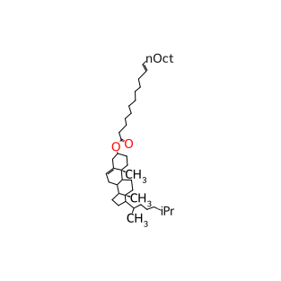 CCCCCCCCC=CCCCCCCCCCC(=O)OC1CC[C@@]2(C)C(=CCC3C4CCC(C(C)CCCC(C)C)[C@@]4(C)CCC32)C1